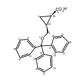 O=C(O)[C@@H]1C[C@@H]1COC(c1ccccc1)(c1ccccc1)c1ccccc1